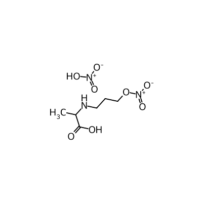 CC(NCCCO[N+](=O)[O-])C(=O)O.O=[N+]([O-])O